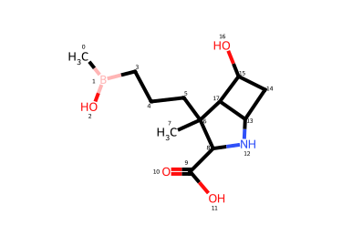 CB(O)CCCC1(C)C(C(=O)O)NC2CC(O)C21